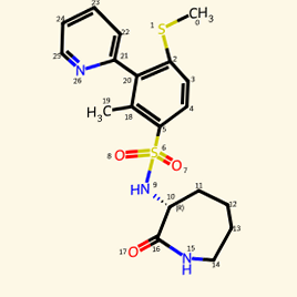 CSc1ccc(S(=O)(=O)N[C@@H]2CCCCNC2=O)c(C)c1-c1ccccn1